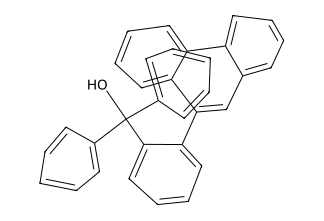 OC(c1ccccc1)(c1ccccc1)c1ccccc1-c1cc2ccccc2c2ccccc12